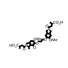 COc1cc2c(cc1OCCCOc1c(OC)cc3c(c1Cl)C(C)N(C(=O)C[C@H](C)C(=O)O)C3)CN(C(=O)C[C@H](C)C(=O)O)C2